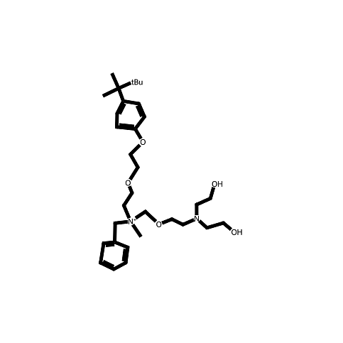 CC(C)(C)C(C)(C)c1ccc(OCCOCC[N+](C)(COCCN(CCO)CCO)Cc2ccccc2)cc1